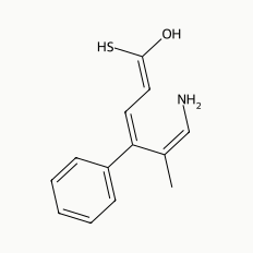 CC(=C/N)/C(=C\C=C(\O)S)c1ccccc1